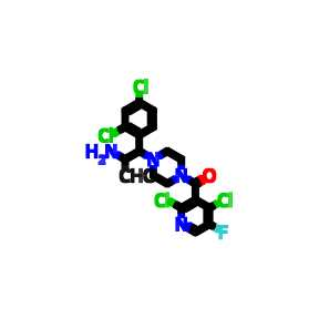 NC(C=O)C(c1ccc(Cl)cc1Cl)N1CCN(C(=O)c2c(Cl)ncc(F)c2Cl)CC1